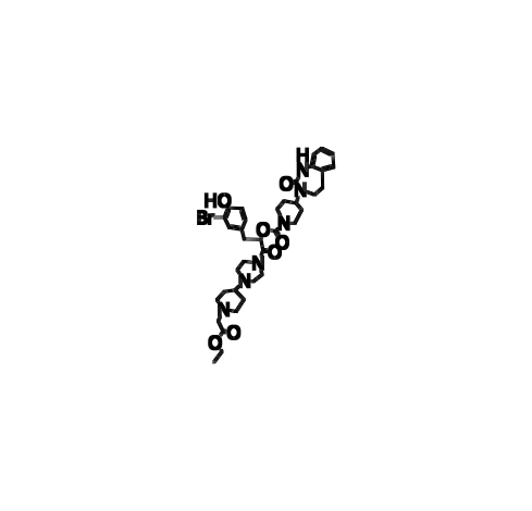 CCOC(=O)CN1CCC(N2CCN(C(=O)C(Cc3ccc(O)c(Br)c3)OC(=O)N3CCC(N4CCc5ccccc5NC4=O)CC3)CC2)CC1